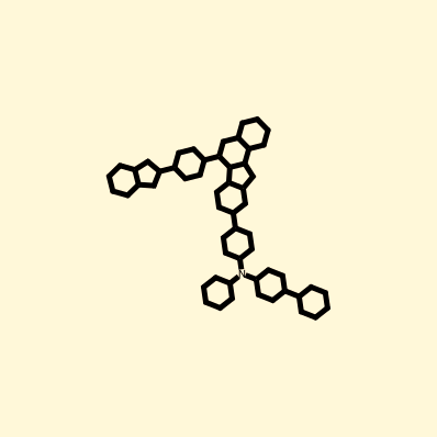 C1CCC(C2CCC(N(C3CCCCC3)C3CCC(C4CCC5C(C4)CC4C6CCCCC6CC(C6CCC(C7CC8CCCCC8C7)CC6)C54)CC3)CC2)CC1